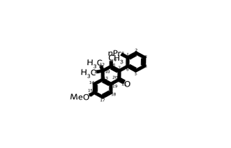 CCCc1ccccc1C1=C(C)C(C)(C)c2cc(OC)ccc2C1=O